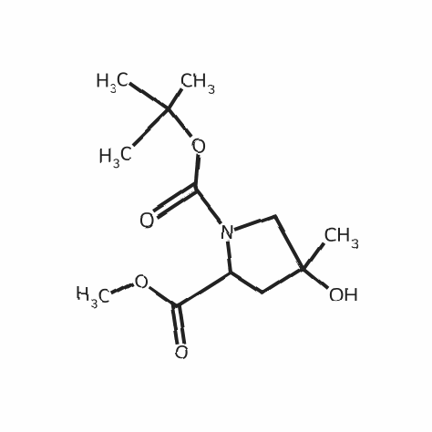 COC(=O)C1CC(C)(O)CN1C(=O)OC(C)(C)C